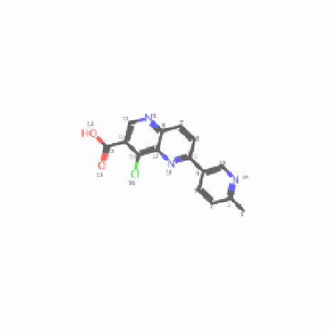 Cc1ccc(-c2ccc3ncc(C(=O)O)c(Cl)c3n2)cn1